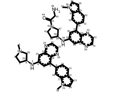 CN1CC[C@H](Nc2cc(-c3ccc4ccn(C)c4c3)c3nccnc3c2)C1.Cn1ccc2ccc(-c3cc(N[C@H]4CCN(C(=O)CN)C4)cc4nccnc34)cc21